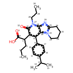 CCCC(C(=O)O)c1c(-c2ccc(C(C)C)cc2)c2c(nc3n2CCCC3)n(CCC)c1=O